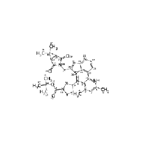 Cc1cc(C)c(NC2CCN(C(=O)OC(C)(C)C)C2)c(-c2ccnc3cc(CN4C(=O)C5C(C4=O)C5(C)C)sc23)n1